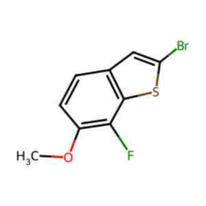 COc1ccc2cc(Br)sc2c1F